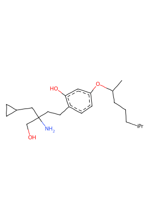 CC(C)CCCC(C)Oc1ccc(CCC(N)(CO)CC2CC2)c(O)c1